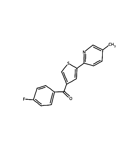 Cc1ccc(-c2cc(C(=O)c3ccc(F)cc3)cs2)nc1